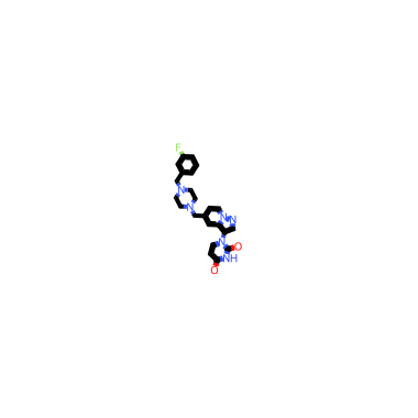 O=c1ccn(-c2cnn3ccc(CN4CCN(Cc5cccc(F)c5)CC4)cc23)c(=O)[nH]1